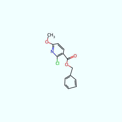 COc1ccc(C(=O)OCc2ccccc2)c(Cl)n1